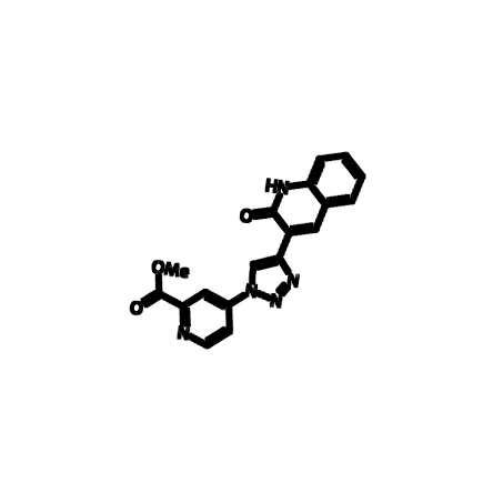 COC(=O)c1cc(-n2cc(-c3cc4ccccc4[nH]c3=O)nn2)ccn1